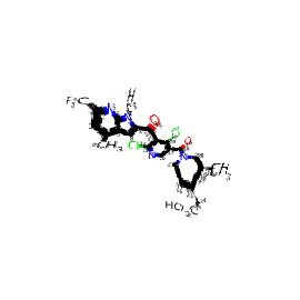 Cc1cc(C(F)(F)F)nc2c1cc(C(=O)c1c(Cl)ncc(C(=O)N3CC[C@@H](CC(=O)O)[C@@H](C)C3)c1Cl)n2C